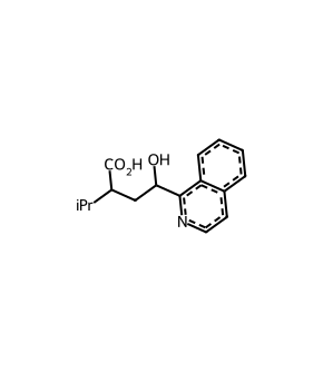 CC(C)C(CC(O)c1nccc2ccccc12)C(=O)O